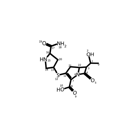 CC(O)C1C(=O)N2C(C(=O)O)=C(SC3CNC(C(N)=O)C3)CC12